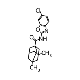 CC12CC3CC(C)(C1)CC(C(=O)Nc1nc4ccc(Cl)cc4o1)(C3)C2